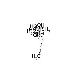 CCCCCCCCCC[C@@H]1CCN[C@H](C(=O)N[C@H]([C@H](C)Cl)[C@H]2OC(SC)[C@H](O)C(O)C2O)CC1